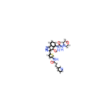 O=C(CCc1cccnc1)Nc1ccc(C2=C3C(=O)c4c(NC(=O)NN5CCOCC5)cccc4C3N=N2)s1